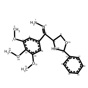 COc1cc(/C(=N\N)C2COC(c3ccccc3)N2)cc(OC)c1OC